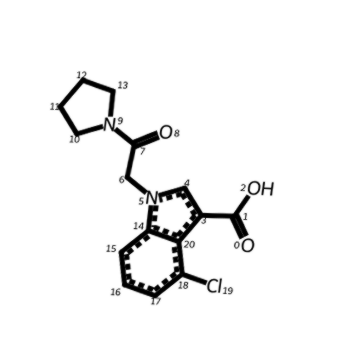 O=C(O)c1cn(CC(=O)N2CCCC2)c2cccc(Cl)c12